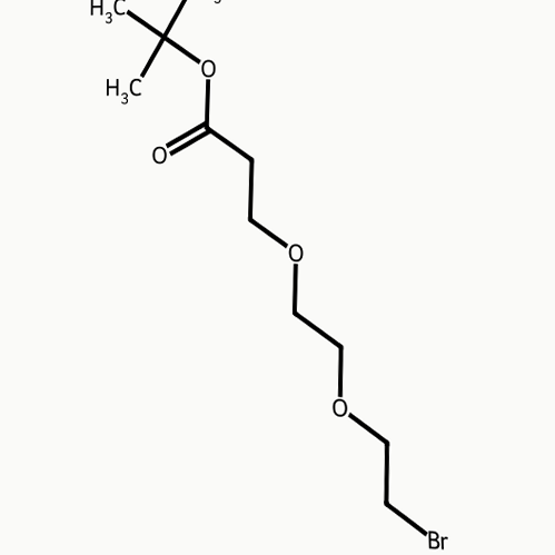 CC(C)(C)OC(=O)CCOCCOCCBr